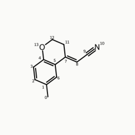 Cc1ccc2c(c1)C(=CC#N)CCO2